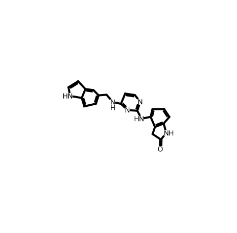 O=C1Cc2c(cccc2Nc2nccc(NCc3ccc4[nH]ccc4c3)n2)N1